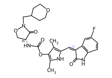 Cc1[nH]c(/C=C2\C(=O)Nc3ccc(F)cc32)c(C)c1OC(=O)N[C@@H]1CON(CC2CCOCC2)C1=O